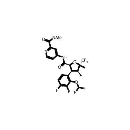 CNC(=O)c1cc(NC(=O)[C@H]2O[C@](C)(C(F)(F)F)[C@@H](C)[C@H]2c2ccc(F)c(F)c2OC(F)F)ccn1